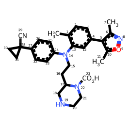 Cc1ccc(-c2c(C)noc2C)cc1N(CCC1CNCCN1C(=O)O)c1ccc(C2(C#N)CC2)cc1